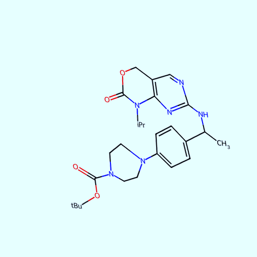 CC(Nc1ncc2c(n1)N(C(C)C)C(=O)OC2)c1ccc(N2CCN(C(=O)OC(C)(C)C)CC2)cc1